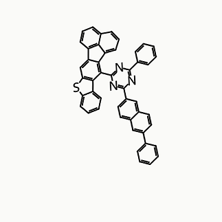 c1ccc(-c2ccc3cc(-c4nc(-c5ccccc5)nc(-c5c6c(cc7sc8ccccc8c57)-c5cccc7cccc-6c57)n4)ccc3c2)cc1